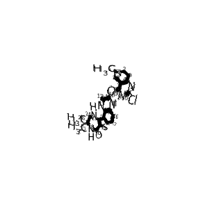 CN1CCc2nc(Cl)nc(Oc3cnc4c(ccc5sc6c(c54)NCC(C)(C)NC6=O)n3)c2C1